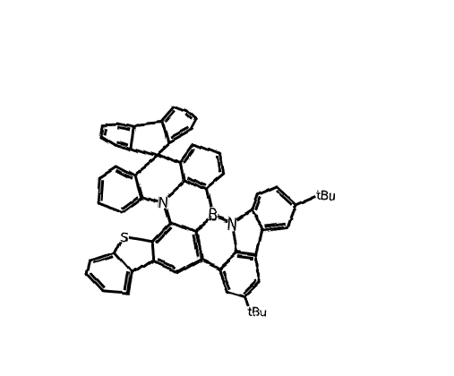 CC(C)(C)c1ccc2c(c1)c1cc(C(C)(C)C)cc3c1n2B1c2cccc4c2N(c2ccccc2C42c4ccccc4-c4ccccc42)c2c1c-3cc1c2sc2ccccc21